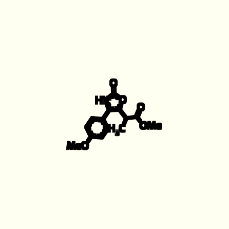 COC(=O)C(C)c1oc(=O)[nH]c1-c1ccc(OC)cc1